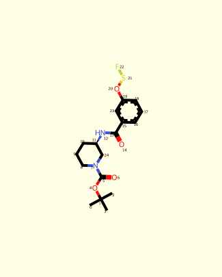 CC(C)(C)OC(=O)N1CCC[C@@H](NC(=O)c2cccc(OSF)c2)C1